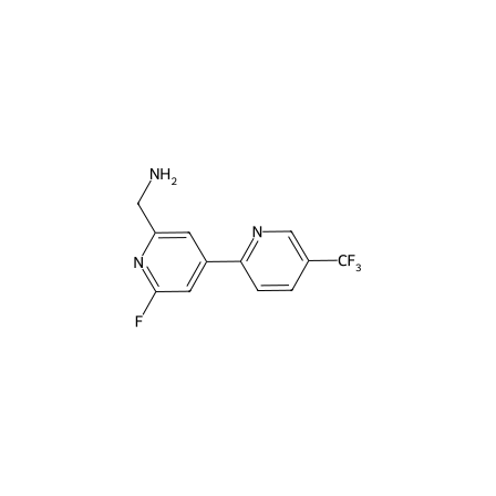 NCc1cc(-c2ccc(C(F)(F)F)cn2)cc(F)n1